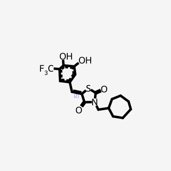 O=C1S/C(=C\c2cc(O)c(O)c(C(F)(F)F)c2)C(=O)N1CC1CCCCCC1